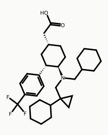 O=C(O)C[C@@H]1CC[C@@H](N(CC2CCCCC2)CC2(C3CCCCC3)CC2)[C@H](c2ccc(C(F)(F)F)cc2)C1